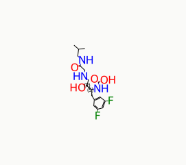 CC(C)CNC(=O)CNC[C@@H](O)[C@H](Cc1cc(F)cc(F)c1)NC(=O)O